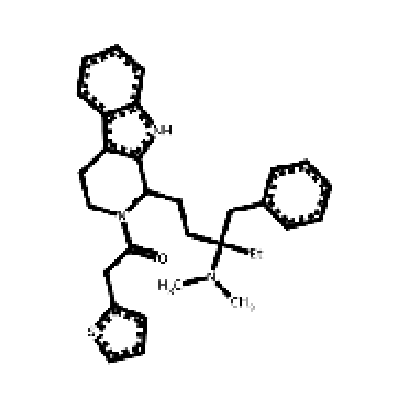 CCC(CCC1c2[nH]c3ccccc3c2CCN1C(=O)Cc1cccs1)(Cc1ccccc1)N(C)C